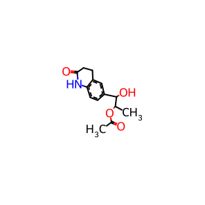 CC(=O)OC(C)C(O)c1ccc2c(c1)CCC(=O)N2